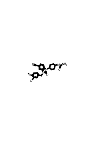 COc1ccc(Cn2c(=O)n(C3CCC(NC(N)=O)CC3)c3ccc(C#N)cc32)cc1Cl